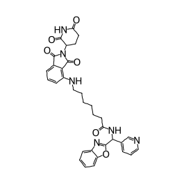 O=C1CCC(N2C(=O)c3cccc(NCCCCCCC(=O)NC(c4cccnc4)c4nc5ccccc5o4)c3C2=O)C(=O)N1